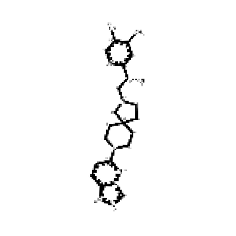 Cc1cc([C@H](O)CN2CCC3(CCN(c4ccc5nncn5n4)CC3)C2)ncc1C#N